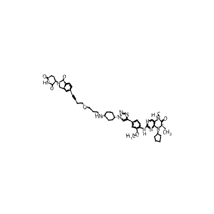 CC[C@@H]1C(=O)N(C)c2cnc(Nc3ccc(-c4cn([C@H]5CC[C@@H](NCCCOCCC#Cc6ccc7c(c6)CN(C6CCC(=O)NC6=O)C7=O)CC5)nn4)cc3OC)nc2N1C1CCCC1